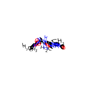 C=CC(=O)Nc1cc(Nc2nc(-c3ccnc(N4CCn5c(cc6c5CC(C)(C)C6)C4=O)c3CO)c[nH]c2=O)ccc1N1CCN(C2CCOCC2)C[C@@H]1C